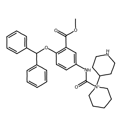 COC(=O)c1cc(NC(=O)[N+]2(C3CCNCC3)CCCCC2)ccc1OC(c1ccccc1)c1ccccc1